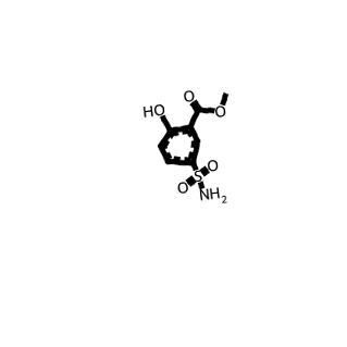 COC(=O)c1cc(S(N)(=O)=O)ccc1O